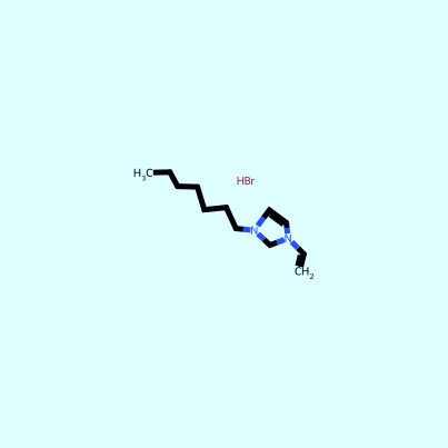 Br.C=CN1C=CN(CCCCCCC)C1